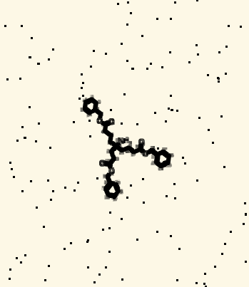 NC(CCCC(=O)OCc1ccccc1)(CCCC(=O)OCc1ccccc1)CCC(=O)OCc1ccccc1